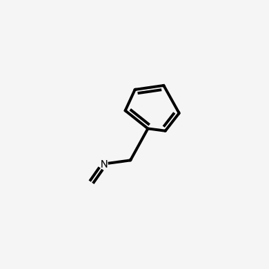 C=NCc1ccccc1